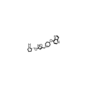 c1cc(OC2CCN(Cc3cc(OC[C@@H]4CCCN4)no3)CC2)c2sccc2n1